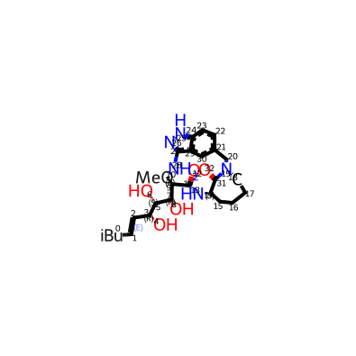 CCC(C)/C=C/[C@@H](O)[C@H](O)[C@@H](O)[C@@H](OC)C(=O)N[C@H]1CCCCN(Cc2ccc3[nH]nc(N)c3c2)C1=O